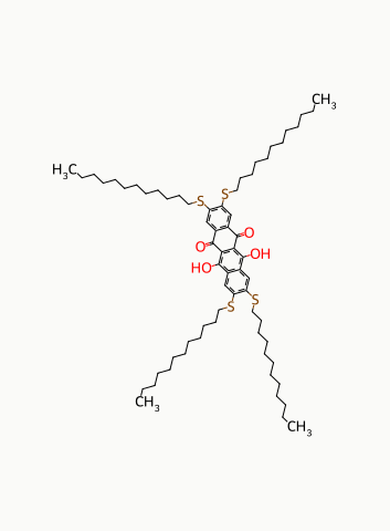 CCCCCCCCCCCCSc1cc2c(cc1SCCCCCCCCCCCC)C(=O)c1c(c(O)c3cc(SCCCCCCCCCCCC)c(SCCCCCCCCCCCC)cc3c1O)C2=O